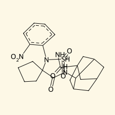 NC(=O)C12CC3CC(C1)C(NC(=O)C1(N(c4ccccc4[N+](=O)[O-])[SH](=O)=O)CCCC1)C(C3)C2